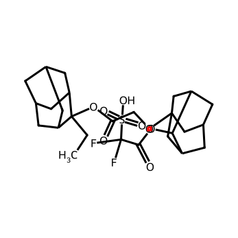 CCC1(OC(=O)COC23CC4CC(C2)C(OC(=O)C(F)(F)S(=O)(=O)O)C(C4)C3)C2CC3CC(C2)CC1C3